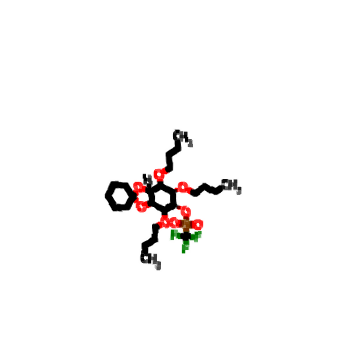 CCCCOC1C2OC3(CCCCC3)O[C@@H]2C(OCCCC)[C@H](OCCCC)[C@@H]1OS(=O)(=O)C(F)(F)F